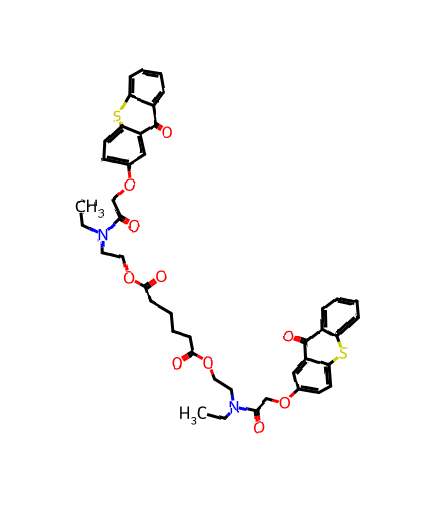 CCN(CCOC(=O)CCCCC(=O)OCCN(CC)C(=O)COc1ccc2sc3ccccc3c(=O)c2c1)C(=O)COc1ccc2sc3ccccc3c(=O)c2c1